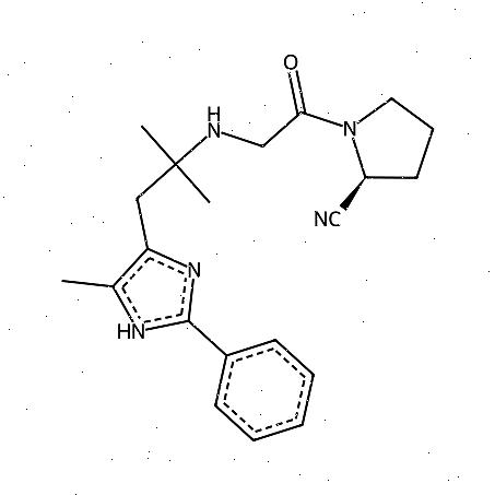 Cc1[nH]c(-c2ccccc2)nc1CC(C)(C)NCC(=O)N1CCC[C@H]1C#N